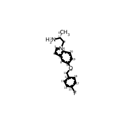 C[C@@H](N)Cn1ccc2cc(OCc3ccc(F)cc3)ccc21